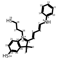 CC1(C)C(/C=C/C=C/Nc2ccccc2)=[N+](CCCS)c2ccc(S)cc21